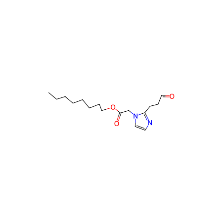 CCCCCCCCOC(=O)Cn1ccnc1CCC=O